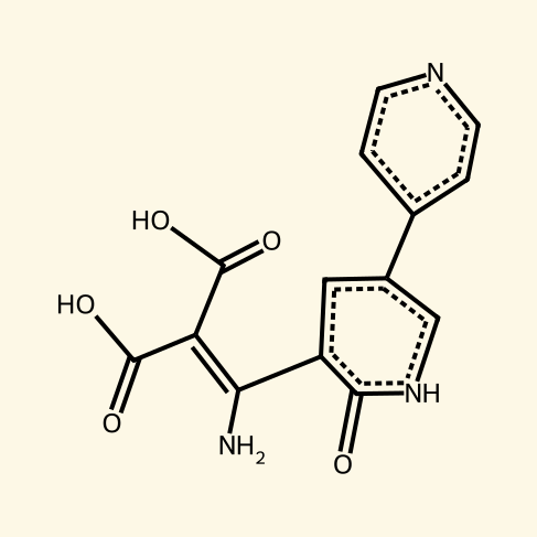 NC(=C(C(=O)O)C(=O)O)c1cc(-c2ccncc2)c[nH]c1=O